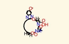 COc1ccc2nc3c(nc2c1)O[C@H]1CN(C(=O)[C@H](C(C)(C)C)NC(=O)O[C@@H]2C[C@H]2CCCCCC3)[C@H](C(=O)O)[C@@H]1C